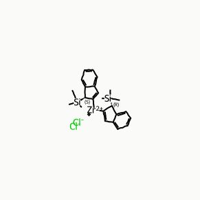 [CH2]=[Zr+2]([C]1=Cc2ccccc2[C@@H]1[Si](C)(C)C)[C]1=Cc2ccccc2[C@H]1[Si](C)(C)C.[Cl-].[Cl-]